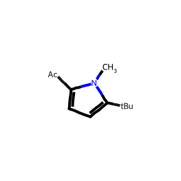 CC(=O)c1ccc(C(C)(C)C)n1C